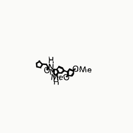 COc1ccc(OC)c(-c2ccc3c(NC(=O)CC4CCCC4)n[nH]c3c2)c1